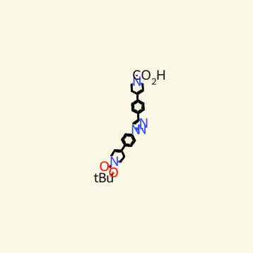 CC(C)(C)OC(=O)N1CC=C(c2ccc(-n3cc(-c4ccc(C5=CCN(C(=O)O)CC5)cc4)nn3)cc2)CC1